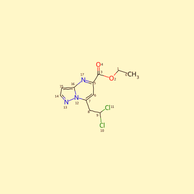 CCOC(=O)c1cc(CC(Cl)Cl)n2nccc2n1